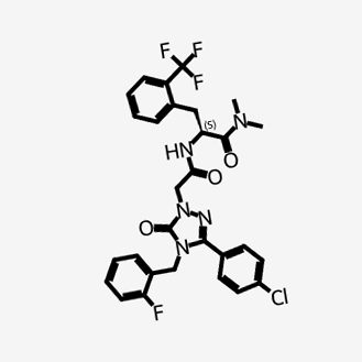 CN(C)C(=O)[C@H](Cc1ccccc1C(F)(F)F)NC(=O)Cn1nc(-c2ccc(Cl)cc2)n(Cc2ccccc2F)c1=O